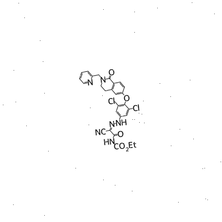 CCOC(=O)NC(=O)C(C#N)=NNc1cc(Cl)c(Oc2ccc3c(c2)CCN(Cc2ccccn2)C3=O)c(Cl)c1